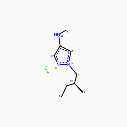 CC[C@H](C)Cn1cc(NC)cn1.Cl